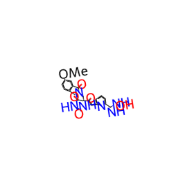 COc1ccc2c(c1)C(=O)N(C[C@@]1(c3cc4nc(C(=N)NO)ccc4o3)NC(=O)NC1=O)C2